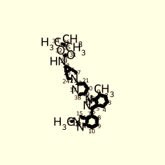 Cc1cccc2c(-c3cccc4nn(C)cc34)nn(-c3ccc(N4CC5C(C4)C5NC(=O)OC(C)(C)C)nc3)c12